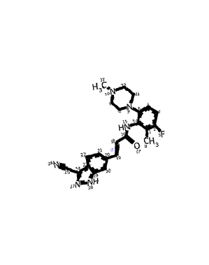 Cc1c(F)ccc(N2CCN(C)CC2)c1NC(=O)/C=C/c1ccc2c(C#N)n[nH]c2c1